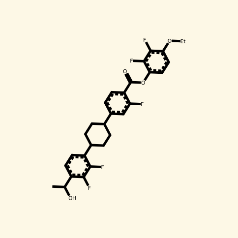 CCOc1ccc(OC(=O)c2ccc(C3CCC(c4ccc(C(C)O)c(F)c4F)CC3)cc2F)c(F)c1F